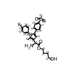 Cc1c(C(N)C(=O)OCCCCO)cc(-c2ccc(S(C)(=O)=O)cc2)n1-c1ccc(F)cc1